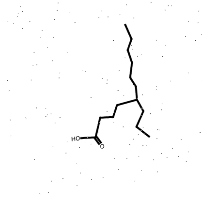 CCCCCCC(CCC)CCCC(=O)O